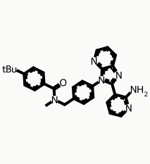 CN(Cc1ccc(-n2c(-c3cccnc3N)nc3cccnc32)cc1)C(=O)c1ccc(C(C)(C)C)cc1